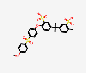 COc1ccc(S(=O)(=O)c2ccc(Oc3ccc(C(C)(C)c4ccc(C)c(S(=O)(=O)O)c4)cc3S(=O)(=O)O)cc2)cc1